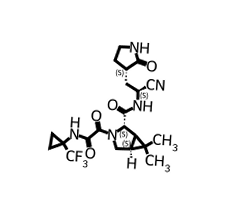 CC1(C)C2[C@@H](C(=O)N[C@H](C#N)C[C@@H]3CCNC3=O)N(C(=O)C(=O)NC3(C(F)(F)F)CC3)C[C@@H]21